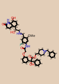 COc1cc(NC(=O)COc2cccc(C(O)(C(=O)OCC3CCN(Cc4ccccc4)CC3)c3ccccc3)c2)c(F)cc1CNC[C@H](O)c1ccc(O)c2[nH]c(=O)ccc12